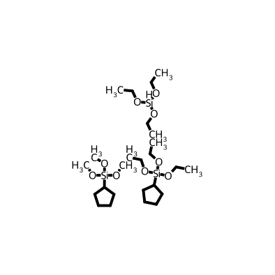 CCO[SiH](OCC)OCC.CCO[Si](OCC)(OCC)C1CCCC1.CO[Si](OC)(OC)C1CCCC1